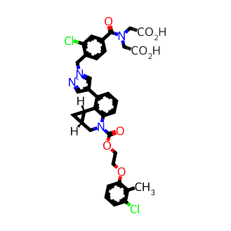 Cc1c(Cl)cccc1OCCOC(=O)N1C[C@@H]2C[C@@H]2c2c(-c3cnn(Cc4ccc(C(=O)N(CC(=O)O)CC(=O)O)cc4Cl)c3)cccc21